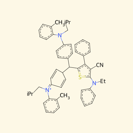 CCN(c1ccccc1)c1sc(C(c2ccc(N(CC(C)C)c3ccccc3C)cc2)C2C=CC(=[N+](CC(C)C)c3ccccc3C)C=C2)c(-c2ccccc2)c1C#N